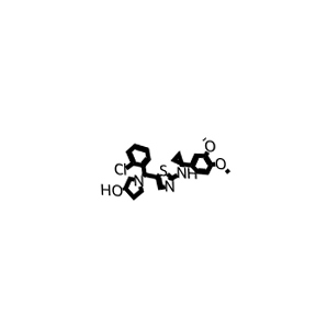 COc1ccc(C2(Nc3ncc(C(c4ccccc4Cl)N4CC[C@@H](O)C4)s3)CC2)cc1OC